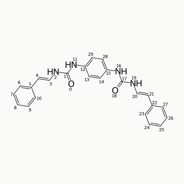 O=C(N/C=C/c1ccccc1)Nc1ccc(NC(=O)N/C=C/c2ccccc2)cc1